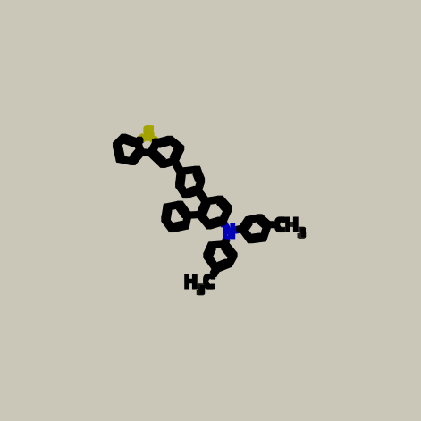 Cc1ccc(N(c2ccc(C)cc2)c2ccc(-c3ccc(-c4ccc5sc6ccccc6c5c4)cc3)c(-c3ccccc3)c2)cc1